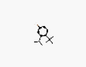 C[C](C)c1cc(Br)ccc1C(C)(C)C